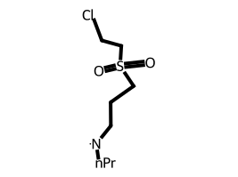 CCC[N]CCCS(=O)(=O)CCCl